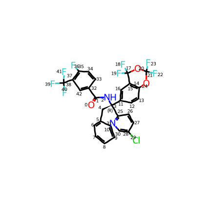 O=C(N[C@](Cc1ccccc1)(c1ccc2c(c1)C(F)(F)OC(F)(F)O2)c1ccc(Cl)cn1)c1ccc(F)c(C(F)(F)F)c1